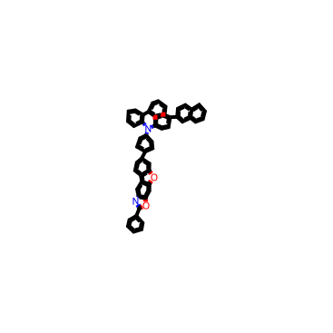 c1ccc(-c2nc3cc4c(cc3o2)oc2cc(-c3ccc(N(c5ccc(-c6ccc7ccccc7c6)cc5)c5ccccc5-c5ccccc5)cc3)ccc24)cc1